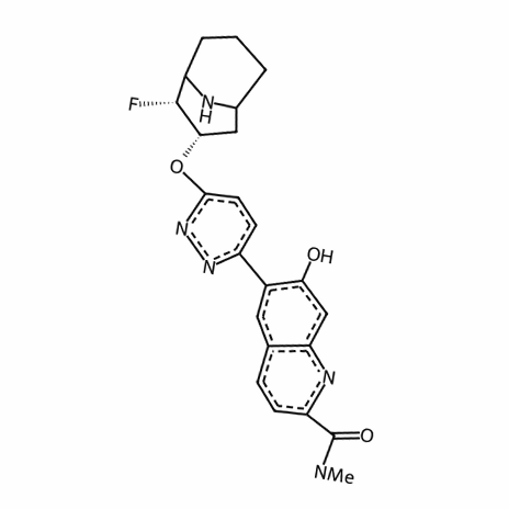 CNC(=O)c1ccc2cc(-c3ccc(O[C@H]4CC5CCCC(N5)[C@H]4F)nn3)c(O)cc2n1